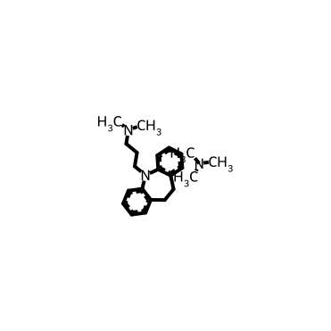 CN(C)C.CN(C)CCCN1c2ccccc2CCc2ccccc21